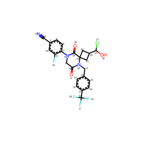 N#Cc1ccc(N2CC(=O)N(Cc3ccc(C(F)(F)F)cc3)C3(CC(C(O)Cl)C3)C2=O)c(F)c1